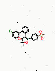 CC1(C)OC(c2ccc(S(C)(=O)=O)cc2)=C(c2ccccc2-c2cccc(F)c2)C1=O